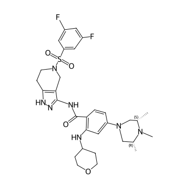 C[C@@H]1CN(c2ccc(C(=O)Nc3n[nH]c4c3CN(S(=O)(=O)c3cc(F)cc(F)c3)CC4)c(NC3CCOCC3)c2)C[C@H](C)N1C